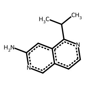 CC(C)c1nccc2cnc(N)cc12